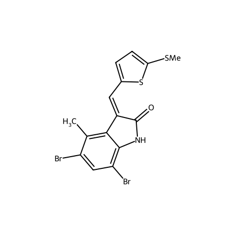 CSc1ccc(C=C2C(=O)Nc3c(Br)cc(Br)c(C)c32)s1